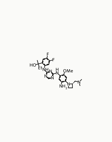 CCC(C)(O)c1cc(F)c(F)cc1Nc1ncnc(Nc2cc(N)c(N3CC[C@@H]3CN(C)C)cc2OC)n1